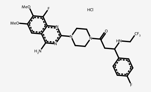 COc1cc2c(N)nc(N3CCN(C(=O)CC(NCC(F)(F)F)c4ccc(F)cc4)CC3)nc2c(F)c1OC.Cl